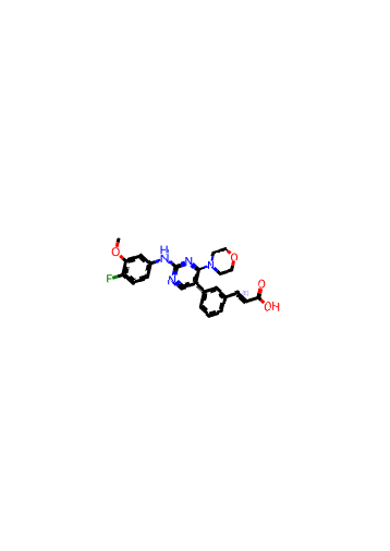 COc1cc(Nc2ncc(-c3cccc(/C=C/C(=O)O)c3)c(N3CCOCC3)n2)ccc1F